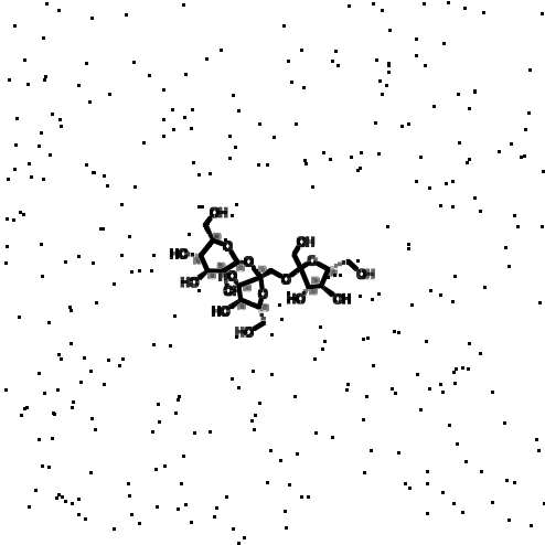 OC[C@H]1OC(CO)(OC[C@@]2(O[C@H]3O[C@H](CO)[C@@H](O)[C@H](O)[C@H]3O)O[C@H](CO)[C@@H](O)[C@@H]2O)[C@@H](O)[C@@H]1O